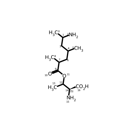 CC(N)CC(C)CC(C)C(=O)OC(C)[C@H](N)C(=O)O